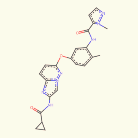 Cc1ccc(Oc2ccc3nc(NC(=O)C4CC4)cn3n2)cc1NC(=O)c1ccnn1C